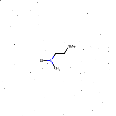 [CH2]CN(C)CC[N]C